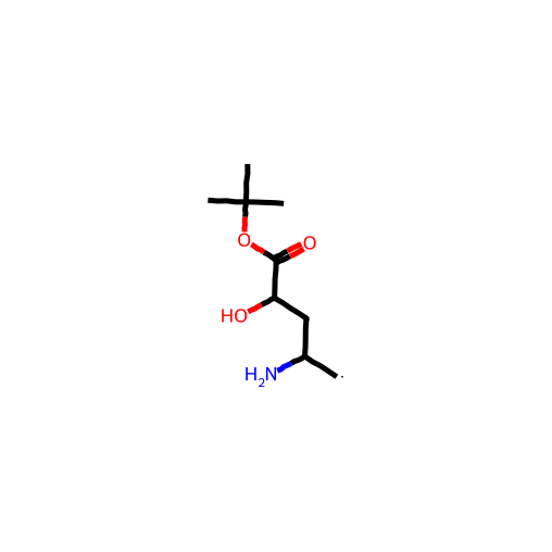 [CH2]C(N)CC(O)C(=O)OC(C)(C)C